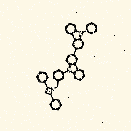 C1=C(c2ccccc2)N(Cc2cccc(-n3c4ccccc4c4cc(-c5ccc6c(c5)c5ccccc5n6-c5ccccc5)ccc43)c2)C1c1ccccc1